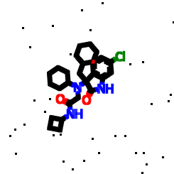 O=C(CN(C1CCCCC1)C1(CC2CCCCC2)C(=O)Nc2cc(Cl)ccc21)NC1CCC1